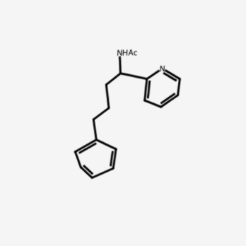 CC(=O)NC(CCCc1ccccc1)c1ccccn1